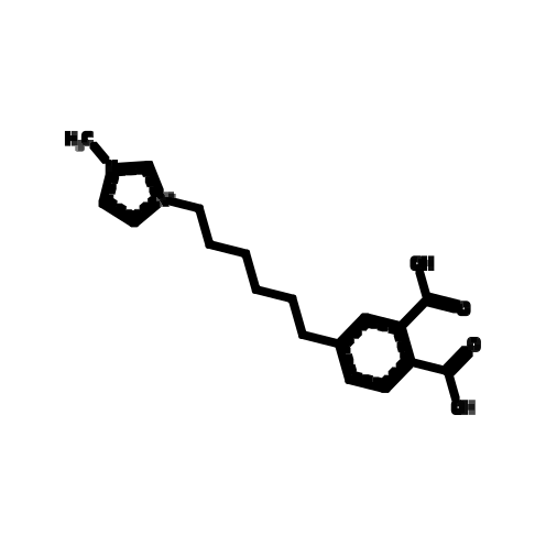 Cn1cc[n+](CCCCCCc2ccc(C(=O)O)c(C(=O)O)c2)c1